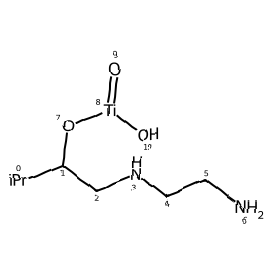 CC(C)C(CNCCN)[O][Ti](=[O])[OH]